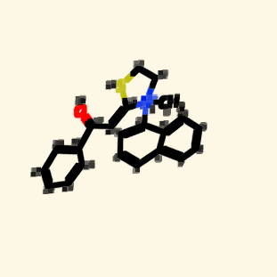 C[N+]1(c2cccc3ccccc23)CCSC1=CC(=O)c1ccccc1